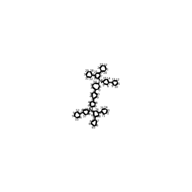 C1=CC(N(c2ccc(-c3ccccc3)cc2)c2cc(-c3ccccc3)cc(-c3ccccc3)c2)=CCC=C1c1ccc(-c2ccc(N(c3ccc(-c4ccccc4)cc3)c3cc(-c4ccccc4)cc(-c4ccccc4)c3)cc2)cc1